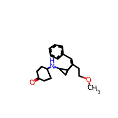 COCCC(=Cc1ccccc1)C1CC1NC1CCC(=O)CC1